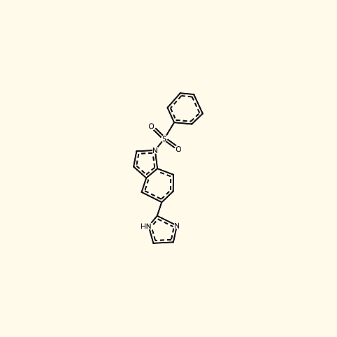 O=S(=O)(c1ccccc1)n1ccc2cc(-c3ncc[nH]3)ccc21